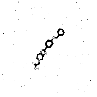 O=C(O)CN1CCc2sc(-c3ccc(OCc4ccccc4)cc3)nc2C1